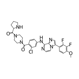 COc1ccc(-c2cnc3c(Nc4ccc(C(=O)N5CCN(C(=O)C6CCCN6)CC5)c(Cl)c4)nccn23)c(F)c1F